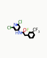 O=C(Cc1cccc(C(F)(F)F)c1F)Nc1cc(Cl)nc(Cl)c1